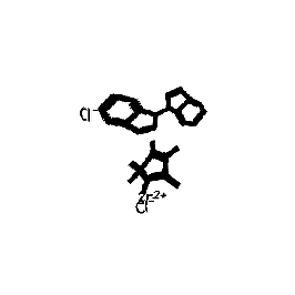 C1=CC(C2C=Cc3ccccc32)c2ccccc21.CC1=C(C)C(C)(C)[C]([Zr+2])=C1C.[Cl-].[Cl-]